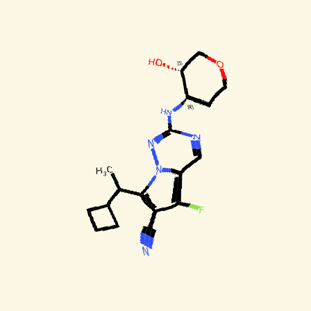 CC(c1c(C#N)c(F)c2cnc(N[C@@H]3CCOC[C@H]3O)nn12)C1CCC1